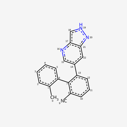 Cc1ccccc1-c1c(C#N)cccc1-c1cnc2c[nH]nc2c1